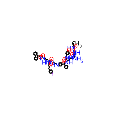 CCC(=O)NCCNC(=O)/N=C(/N)NCCC[C@@H](NC(=O)C(c1ccccc1)c1ccc(NCCCNC(=O)[C@@H](CCCNC(=O)OCC2c3ccccc3-c3ccccc32)NC(=O)CCCc2ccc(I)cc2)cc1)C(=O)NCc1ccc(O)cc1